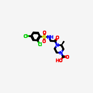 C[C@H]1CN(C(=O)O)CCN1C(=O)CNS(=O)(=O)c1ccc(Cl)cc1Cl